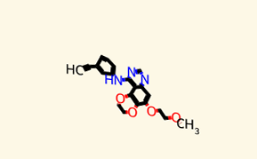 C#Cc1cccc(Nc2ncnc3cc(OCCOC)c4c(c23)OCCO4)c1